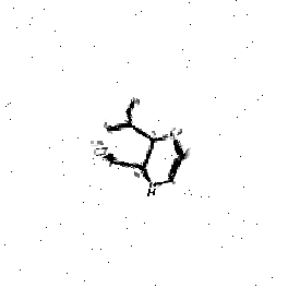 CC(C)C1SC=CNC1C=O